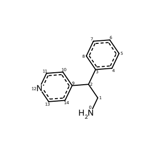 NCC(c1ccccc1)c1ccncc1